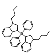 CCCCC1CC([Si](c2ccccc2)(c2ccccc2)C2CC(CCCC)C3C=CC=CC32)C2C=CC=CC12